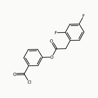 O=C(Cc1ccc(F)cc1F)Oc1cccc(C(=O)Cl)c1